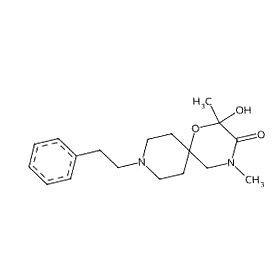 CN1CC2(CCN(CCc3ccccc3)CC2)OC(C)(O)C1=O